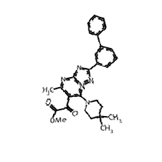 COC(=O)C(=O)c1c(C)nc2nc(-c3cccc(-c4ccccc4)c3)nn2c1N1CCC(C)(C)CC1